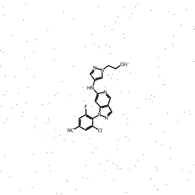 N#Cc1cc(F)c(-n2ncc3cnc(Nc4cnn(CCO)c4)cc32)c(Cl)c1